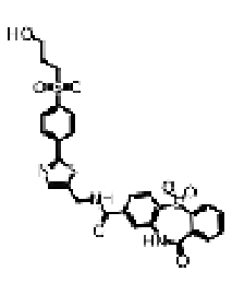 O=C(NCc1cnc(-c2ccc(S(=O)(=O)CCCO)cc2)s1)c1ccc2c(c1)NC(=O)c1ccccc1S2(=O)=O